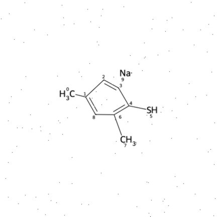 Cc1ccc(S)c(C)c1.[Na]